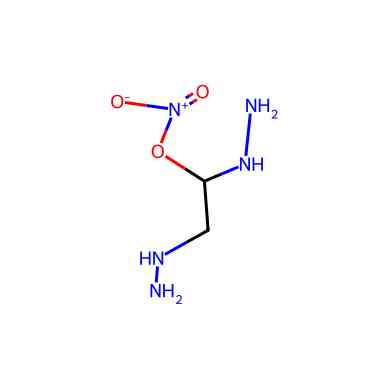 NNCC(NN)O[N+](=O)[O-]